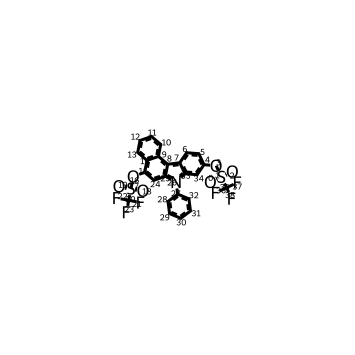 O=S(=O)(Oc1ccc2c3c4ccccc4c(OS(=O)(=O)C(F)(F)F)cc3n(-c3ccccc3)c2c1)C(F)(F)F